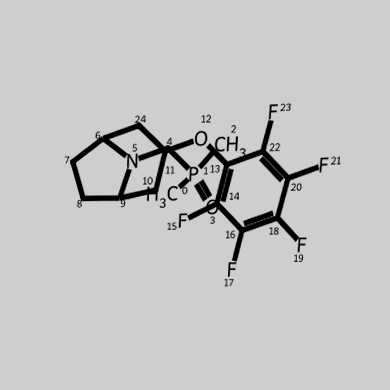 CP(C)(=O)CN1C2CCC1CC(Oc1c(F)c(F)c(F)c(F)c1F)C2